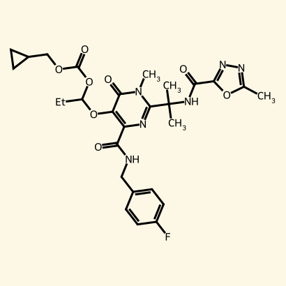 CCC(OC(=O)OCC1CC1)Oc1c(C(=O)NCc2ccc(F)cc2)nc(C(C)(C)NC(=O)c2nnc(C)o2)n(C)c1=O